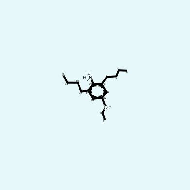 CCCCc1cc(OCC)cc(CCCC)c1N